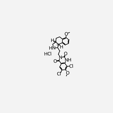 COc1cccc2c1CC[C@H]1CNC(CCn3c(=O)[nH]c4c(Cl)c(OC)c(Cl)cc4c3=O)[C@@H]21.Cl